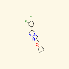 Fc1ccc(-c2cnc3nc(COc4ccccc4)cn3c2)cc1F